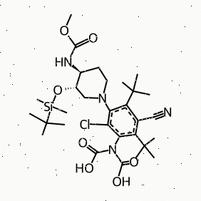 COC(=O)N[C@H]1CCN(c2c(Cl)c(N(C(=O)O)C(=O)O)c(C(C)(C)C)c(C#N)c2C(C)(C)C)C[C@@H]1O[Si](C)(C)C(C)(C)C